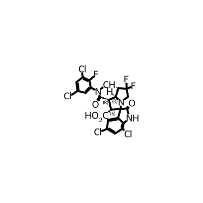 CN(C(=O)[C@H]1[C@H]2CC(F)(F)CN2C2(C(=O)Nc3c(Cl)cc(Cl)cc32)[C@H]1C(=O)O)c1cc(Cl)cc(Cl)c1F